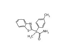 Cc1ccc(S(C)(C(N)=O)c2nc3ccccc3s2)cc1